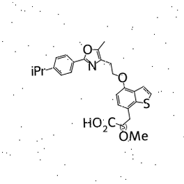 CO[C@@H](Cc1ccc(OCCc2nc(-c3ccc(C(C)C)cc3)oc2C)c2ccsc12)C(=O)O